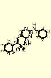 O=S1(=O)Nc2nc(Nc3ccccc3)ncc2C=C1c1ccccc1